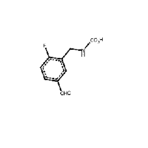 O=Cc1ccc(F)c(CNC(=O)O)c1